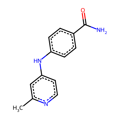 Cc1cc(Nc2ccc(C(N)=O)cc2)ccn1